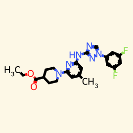 CCOC(=O)C1CCN(c2cc(C)cc(Nc3ncn(-c4cc(F)cc(F)c4)n3)n2)CC1